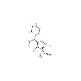 CCN(c1sc(C)c(C(=O)O)c1C)C1CCOCC1